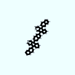 c1ccc2cc(-c3c4ccccc4c(-c4ccc5cc(-c6c7ccccc7c(-c7ccc8ccccc8c7)c7ccncc67)ccc5c4)c4cnccc34)ccc2c1